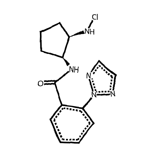 O=C(N[C@H]1CCC[C@H]1NCl)c1ccccc1-n1nccn1